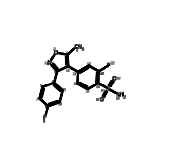 Cc1onc(-c2ccc(F)cc2)c1-c1ccc(S(N)(=O)=O)c(F)c1